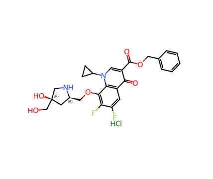 Cl.O=C(OCc1ccccc1)c1cn(C2CC2)c2c(OC[C@H]3C[C@](O)(CO)CN3)c(F)c(F)cc2c1=O